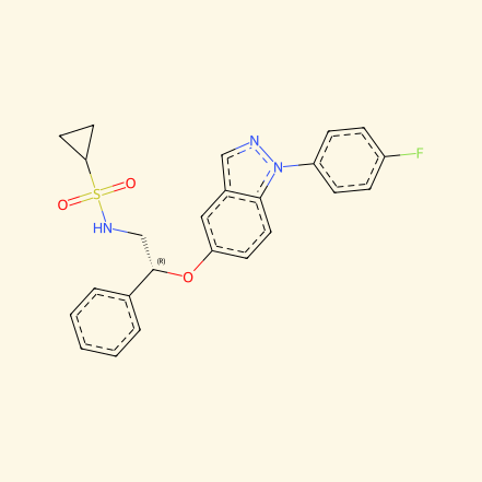 O=S(=O)(NC[C@H](Oc1ccc2c(cnn2-c2ccc(F)cc2)c1)c1ccccc1)C1CC1